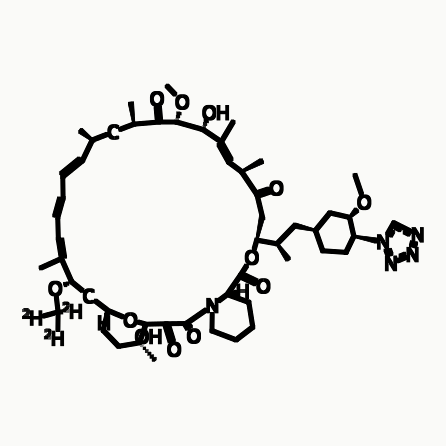 [2H]C([2H])([2H])O[C@H]1C[C@@H]2CC[C@@H](C)[C@@](O)(O2)C(=O)C(=O)N2CCCC[C@H]2C(=O)O[C@H]([C@H](C)C[C@@H]2CC[C@H](n3cnnn3)[C@H](OC)C2)CC(=O)[C@H](C)/C=C(\C)[C@@H](O)[C@@H](OC)C(=O)[C@H](C)C[C@H](C)/C=C/C=C/C=C/1C